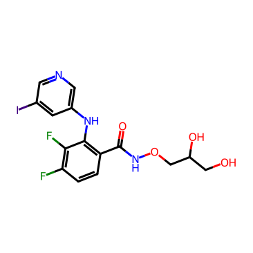 O=C(NOCC(O)CO)c1ccc(F)c(F)c1Nc1cncc(I)c1